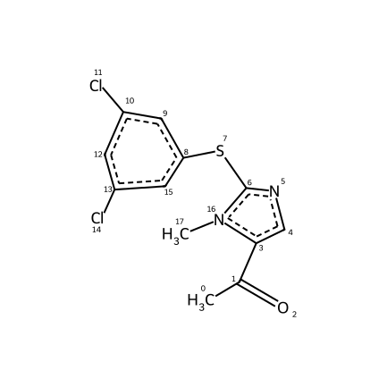 CC(=O)c1cnc(Sc2cc(Cl)cc(Cl)c2)n1C